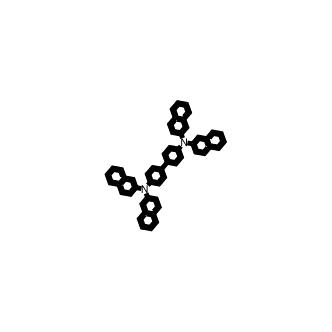 c1ccc2cc(N(c3ccc(-c4ccc(N(c5ccc6ccccc6c5)c5ccc6ccccc6c5)cc4)cc3)c3ccc4ccccc4c3)ccc2c1